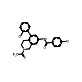 O=C(Nc1cc2c(c(-c3ccccc3Cl)c1)CCN(C(=O)C(F)(F)F)C2)c1ccc(Cl)cc1